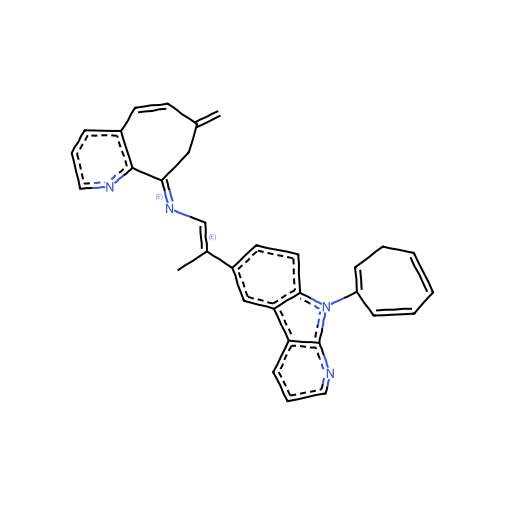 C=C1C=Cc2cccnc2/C(=N/C=C(\C)c2ccc3c(c2)c2cccnc2n3C2=CCC=CC=C2)C1